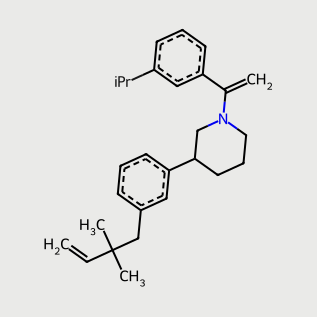 C=CC(C)(C)Cc1cccc(C2CCCN(C(=C)c3cccc(C(C)C)c3)C2)c1